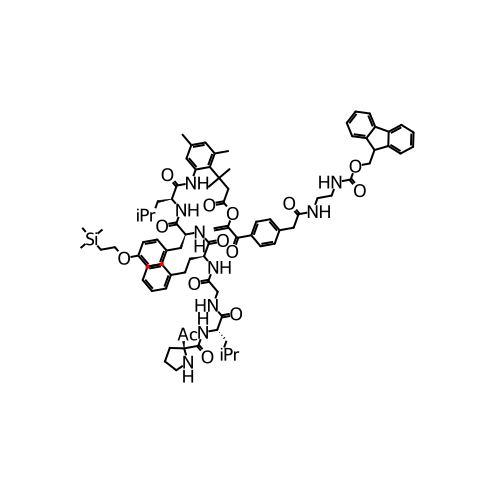 C=C(OC(=O)CC(C)(C)c1c(C)cc(C)cc1NC(=O)[C@H](CC(C)C)NC(=O)[C@H](Cc1ccc(OCC[Si](C)(C)C)cc1)NC(=O)[C@H](CCc1ccccc1)NC(=O)CNC(=O)[C@H](CC(C)C)NC(=O)[C@@]1(C(C)=O)CCCN1)C(=O)c1ccc(CC(=O)NCCNC(=O)OCC2c3ccccc3-c3ccccc32)cc1